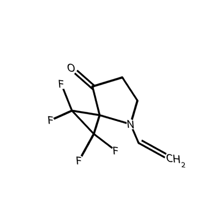 C=CN1CCC(=O)C12C(F)(F)C2(F)F